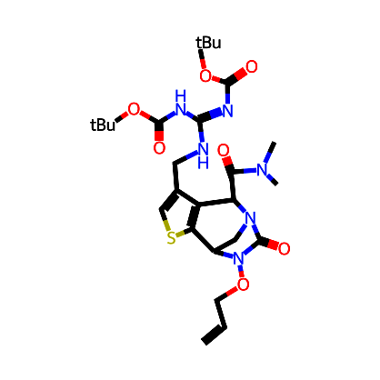 C=CCON1C(=O)N2CC1c1scc(CNC(=NC(=O)OC(C)(C)C)NC(=O)OC(C)(C)C)c1C2C(=O)N(C)C